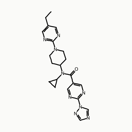 CCc1cnc(N2CCC(N(C(=O)c3cnc(-n4cncn4)nc3)C3CC3)CC2)nc1